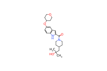 CC(C)(O)CC1CCN(C(=O)c2cc3cc(OC4CCOCC4)ccc3[nH]2)CC1